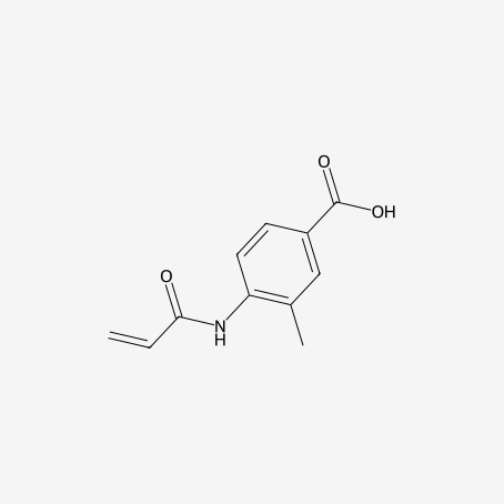 C=CC(=O)Nc1ccc(C(=O)O)cc1C